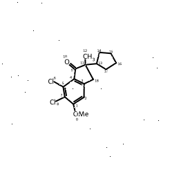 COc1cc2c(c(Cl)c1Cl)C(=O)C(C)(C1CCCC1)C2